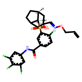 C=CCO/N=C/[C@]1(O)CC2CC[C@@H](C1)[C@H]2S(=O)(=O)c1cc(C(=O)Nc2cc(F)c(F)c(F)c2)ccc1Cl